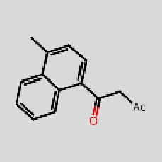 CC(=O)CC(=O)c1ccc(C)c2ccccc12